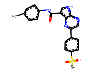 CC(C)S(=O)(=O)c1ccc(-c2cnc3[nH]cc(C(=O)Nc4ccc(C#N)cc4)c3n2)cc1